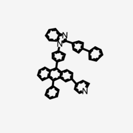 c1ccc(-c2ccc(-c3nc4ccccc4n3-c3ccc(-c4c5ccccc5c(-c5ccccc5)c5cc(-c6ccncc6)ccc45)cc3)cc2)cc1